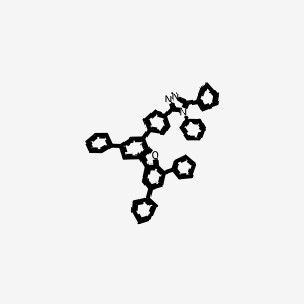 c1ccc(-c2cc(-c3ccccc3)c3oc4c(-c5ccc(-c6nnc(-c7ccccc7)n6-c6ccccc6)cc5)cc(-c5ccccc5)cc4c3c2)cc1